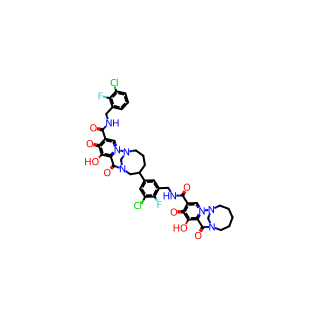 O=C(NCc1cc(C2CCCN3CN(C2)C(=O)c2c(O)c(=O)c(C(=O)NCc4cccc(Cl)c4F)cn23)cc(Cl)c1F)c1cn2c(c(O)c1=O)C(=O)N1CCCCCN2C1